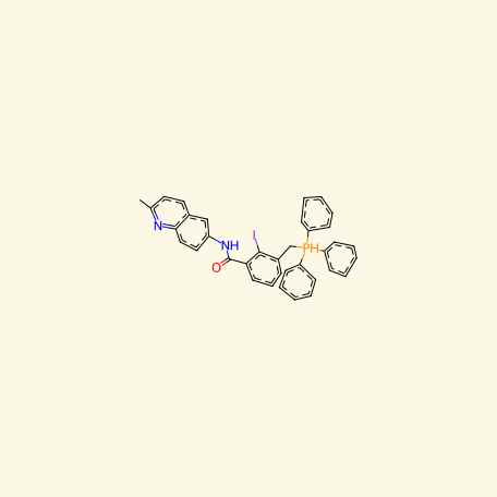 Cc1ccc2cc(NC(=O)c3cccc(C[PH](c4ccccc4)(c4ccccc4)c4ccccc4)c3I)ccc2n1